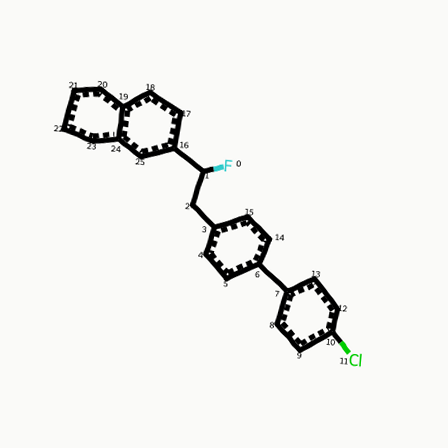 FC(Cc1ccc(-c2ccc(Cl)cc2)cc1)c1ccc2ccccc2c1